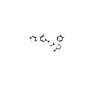 Cc1cc(Oc2ccc(C(=O)N[C@H](C)C(=O)N3C(C(C)(C)C#N)CC[C@H]3c3ccc(F)c(Cl)c3)nc2C)c(=O)[nH]n1